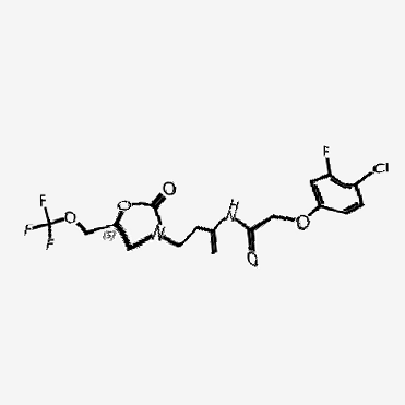 C=C(CCN1C[C@@H](COC(F)(F)F)OC1=O)NC(=O)COc1ccc(Cl)c(F)c1